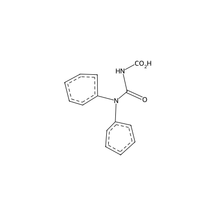 O=C(O)NC(=O)N(c1ccccc1)c1ccccc1